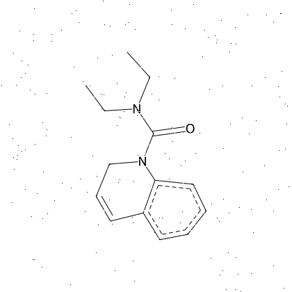 CCN(CC)C(=O)N1CC=Cc2ccccc21